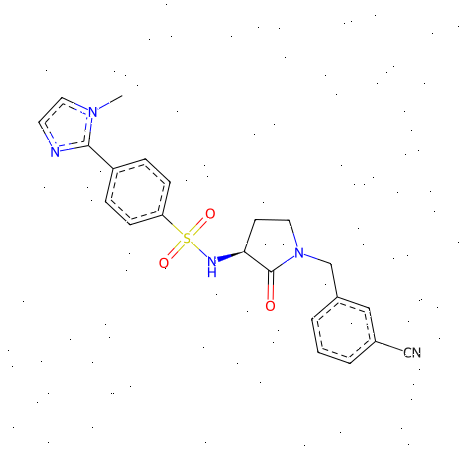 Cn1ccnc1-c1ccc(S(=O)(=O)N[C@H]2CCN(Cc3cccc(C#N)c3)C2=O)cc1